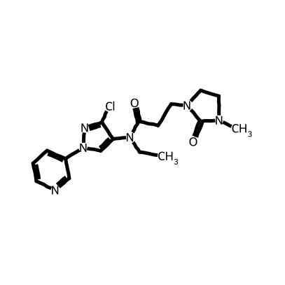 CCN(C(=O)CCN1CCN(C)C1=O)c1cn(-c2cccnc2)nc1Cl